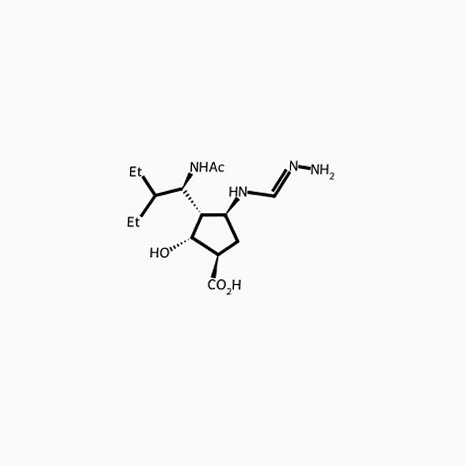 CCC(CC)[C@@H](NC(C)=O)[C@H]1[C@@H](O)[C@H](C(=O)O)C[C@@H]1NC=NN